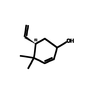 C=C[C@@H]1CC(O)C=CC1(C)C